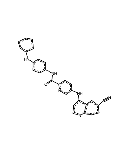 N#Cc1ccc2nccc(Nc3ccc(C(=O)Nc4ccc(Nc5ccccc5)cc4)nc3)c2c1